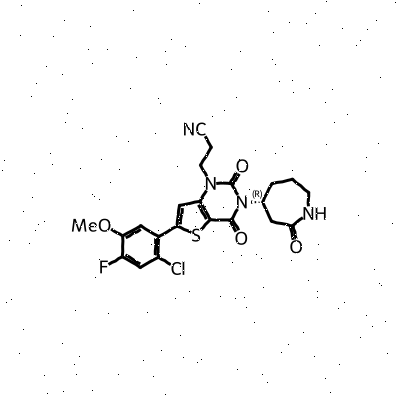 COc1cc(-c2cc3c(s2)c(=O)n([C@@H]2CCCNC(=O)C2)c(=O)n3CCC#N)c(Cl)cc1F